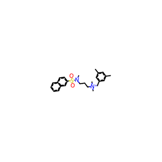 Cc1cc(C)cc(C[N+](C)(C)CCCN(C)S(=O)(=O)c2ccc3ccccc3c2)c1